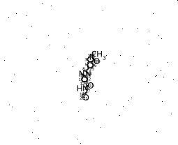 Cn1ccc2cc(-c3cnc4ccc(C(=O)NCC5CCO5)cc4n3)ccc2c1=O